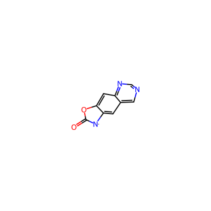 O=C1[N]c2cc3cncnc3cc2O1